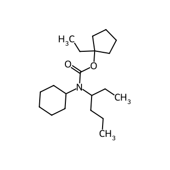 CCCC(CC)N(C(=O)OC1(CC)CCCC1)C1CCCCC1